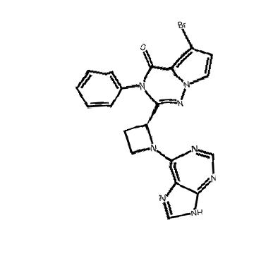 O=c1c2c(Br)ccn2nc([C@@H]2CCN2c2ncnc3[nH]cnc23)n1-c1ccccc1